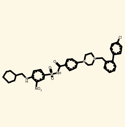 O=C(NS(=O)(=O)c1ccc(NCC2CCCCC2)c([N+](=O)[O-])c1)c1ccc(N2CCN(Cc3ccccc3-c3ccc(Cl)cc3)CC2)cc1